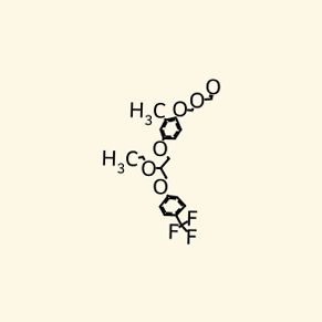 CCOC(COc1ccc(C(F)(F)F)cc1)COc1ccc(OCOC=O)c(C)c1